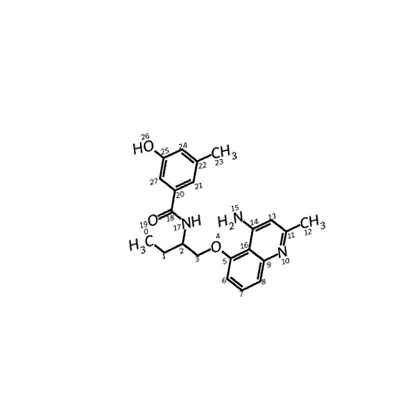 CCC(COc1cccc2nc(C)cc(N)c12)NC(=O)c1cc(C)cc(O)c1